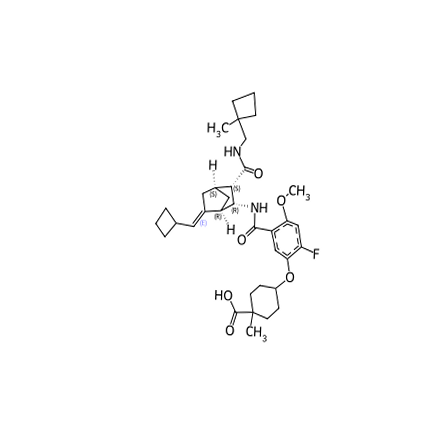 COc1cc(F)c(OC2CCC(C)(C(=O)O)CC2)cc1C(=O)N[C@H]1[C@@H](C(=O)NCC2(C)CCC2)[C@@H]2C/C(=C\C3CCC3)[C@H]1C2